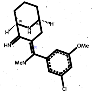 CN/C(=C1/C[C@@H]2CCC[C@@H](N2)C1=N)c1cc(Cl)cc(OC)c1